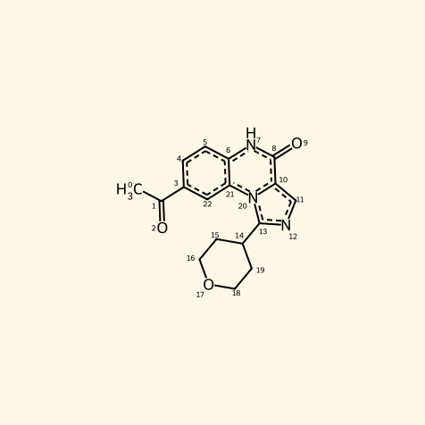 CC(=O)c1ccc2[nH]c(=O)c3cnc(C4CCOCC4)n3c2c1